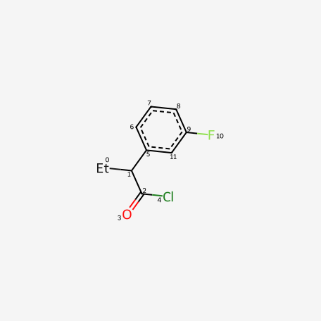 CCC(C(=O)Cl)c1cccc(F)c1